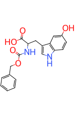 O=C(NC(Cc1c[nH]c2ccc(O)cc12)C(=O)O)OCc1ccccc1